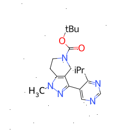 CC(C)c1ncncc1-c1nn(C)c2c1CN(C(=O)OC(C)(C)C)CC2